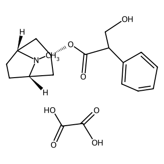 CN1[C@@H]2CC[C@H]1C[C@@H](OC(=O)C(CO)c1ccccc1)C2.O=C(O)C(=O)O